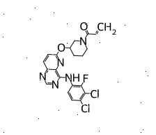 C=CC(=O)N1CCCC(Oc2ccc3ncnc(Nc4ccc(Cl)c(Cl)c4F)c3n2)C1